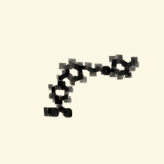 O=C(O)N1CCN(Cc2ccc(CCCOc3ccc(F)cc3)cc2)CC1